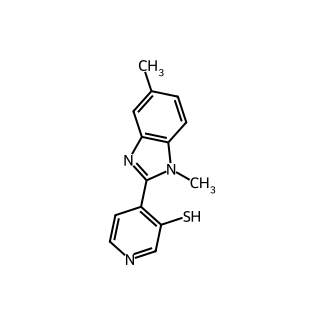 Cc1ccc2c(c1)nc(-c1ccncc1S)n2C